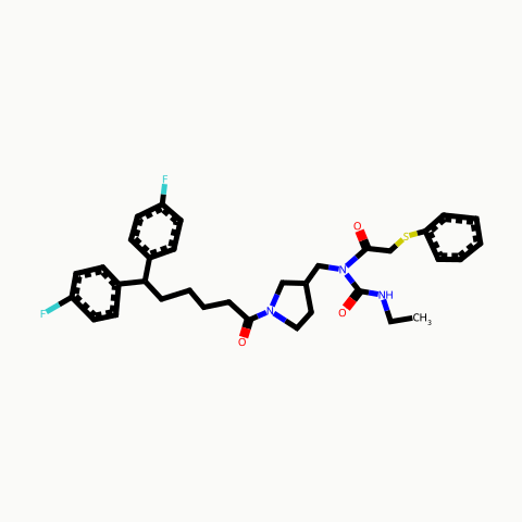 CCNC(=O)N(CC1CCN(C(=O)CCCCC(c2ccc(F)cc2)c2ccc(F)cc2)C1)C(=O)CSc1ccccc1